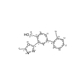 Cc1nnc(-c2cc(-c3ccccc3C)ccc2C(=O)O)o1